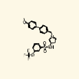 COc1ccc(-c2ccc(CN3CC[C@@H](NS(=O)(=O)c4cccc(OC(F)(F)F)c4)C3)cc2)cc1